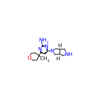 CC1(c2cc(N3C[C@H]4CNC[C@H]4C3)nc(N)n2)CCOCC1